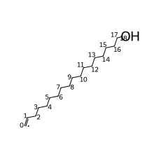 [CH]=CCCCCCCCCCCCCCCCCO